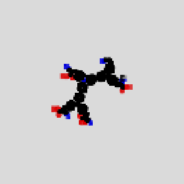 [C-]#[N+]/C(=C\c1ccc(C(c2ccc(/C=C\C#N)cc2)c2ccc(-c3ccc(N(c4ccc(/C=C(/C#N)C(=O)O)cc4)c4ccc(-c5ccc(C(c6ccc(/C=C(/C#N)C(=O)O)cc6)c6ccc(/C=C(\C#N)C(=O)O)cc6)cc5)cc4)cc3)cc2)cc1)C(=O)O